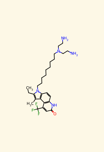 CCc1c(C)c2c3c(C(F)(F)F)cc(=O)[nH]c3ccc2n1CCCCCCCCCN(CCN)CCN